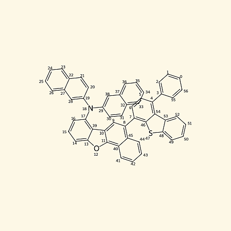 c1ccc(-c2ccc(-c3cc4c(oc5cccc(N(c6ccc7ccccc7c6)c6ccc7ccccc7c6)c54)c4ccccc34)c3sc4ccccc4c23)cc1